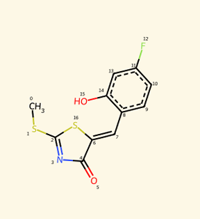 CSC1=NC(=O)C(=Cc2ccc(F)cc2O)S1